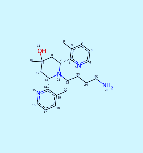 Cc1cccnc1[C@H]1CC(C)(O)C[C@@H](c2ncccc2C)N1CCCCN